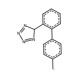 [CH]c1ccc(-c2ccccc2C2N=NN=N2)cc1